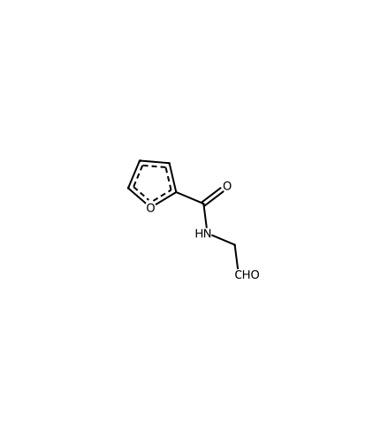 O=CCNC(=O)c1ccco1